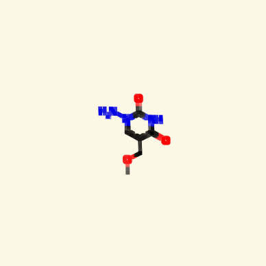 COCc1cn(N)c(=O)[nH]c1=O